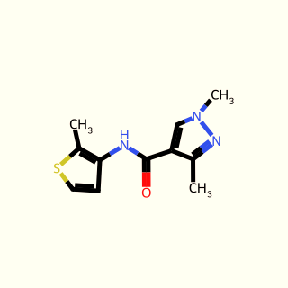 Cc1nn(C)cc1C(=O)Nc1ccsc1C